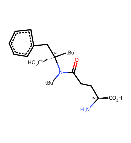 CC(C)(C)N(C(=O)CC[C@H](N)C(=O)O)[C@](Cc1ccccc1)(C(=O)O)C(C)(C)C